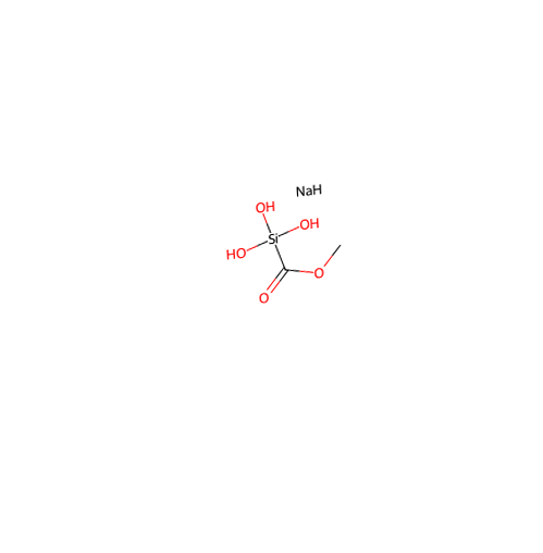 COC(=O)[Si](O)(O)O.[NaH]